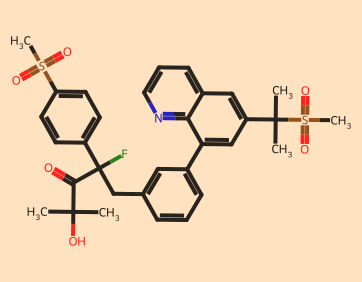 CC(C)(O)C(=O)C(F)(Cc1cccc(-c2cc(C(C)(C)S(C)(=O)=O)cc3cccnc23)c1)c1ccc(S(C)(=O)=O)cc1